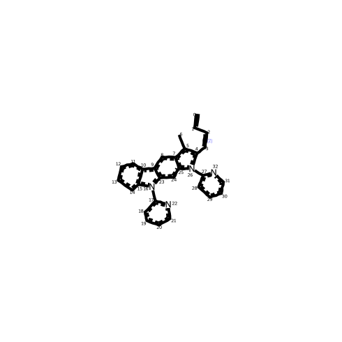 C=C/C=C\c1c(C)c2cc3c4ccccc4n(-c4ccccn4)c3cc2n1-c1ccccn1